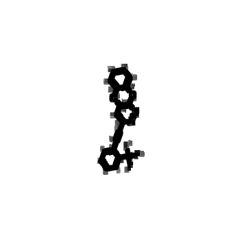 FC(F)(F)c1ccccc1C#Cc1cc2c(nn1)Oc1ccccc1O2